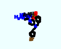 CC(=O)NS(=O)(=O)c1cccc(CN(CCc2ccc(Br)cc2)C2CCN(C3=CN(N)NN3)CC2)c1